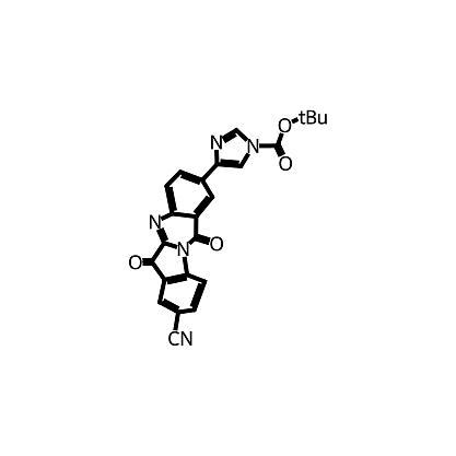 CC(C)(C)OC(=O)n1cnc(-c2ccc3nc4n(c(=O)c3c2)-c2ccc(C#N)cc2C4=O)c1